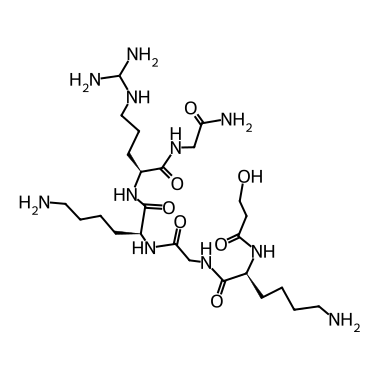 NCCCC[C@H](NC(=O)CCO)C(=O)NCC(=O)N[C@@H](CCCCN)C(=O)N[C@@H](CCCNC(N)N)C(=O)NCC(N)=O